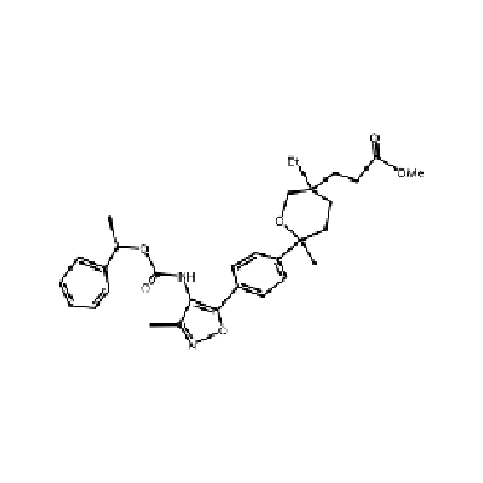 CCC1(CCC(=O)OC)CCC(C)(c2ccc(-c3onc(C)c3NC(=O)O[C@H](C)c3ccccc3)cc2)OC1